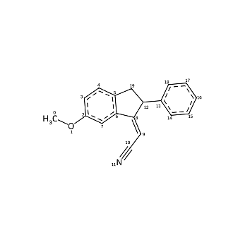 COc1ccc2c(c1)/C(=C\C#N)C(c1ccccc1)C2